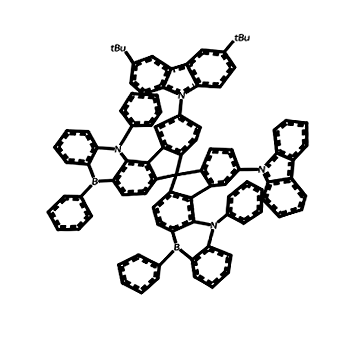 CC(C)(C)c1ccc2c(c1)c1cc(C(C)(C)C)ccc1n2-c1ccc2c(c1)-c1c(ccc3c1N(c1ccccc1)c1ccccc1B3c1ccccc1)C21c2ccc(-n3c4ccccc4c4ccccc43)cc2-c2c1ccc1c2N(c2ccccc2)c2ccccc2B1c1ccccc1